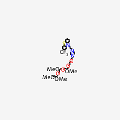 COCC(COCC(COCC(COCCOCCN1CCN(CCCN2c3ccccc3Sc3ccc(C(F)(F)F)cc32)CC1)OC)OC)OC